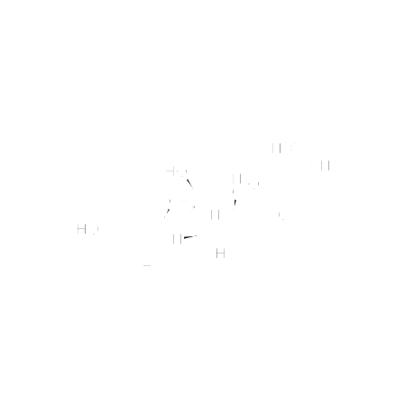 CC1(C)COC2(CC[C@H]3[C@@H]4CC[C@H]5CC(O)CC[C@]5(C)[C@H]4[C@@H](O)C[C@@]32C)OC1